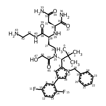 CC(C)(C)[C@H](c1cc(-c2cc(F)ccc2F)cn1Cc1ccccc1)N(CC[C@H](N[C@@H](CC(N)=O)C(N)=O)C(=O)NCCN)C(=O)CO